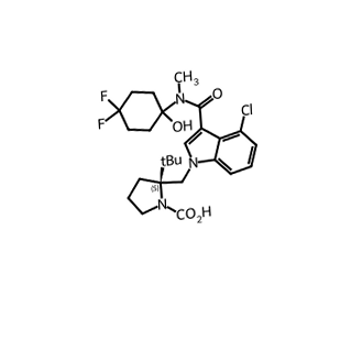 CN(C(=O)c1cn(C[C@@]2(C(C)(C)C)CCCN2C(=O)O)c2cccc(Cl)c12)C1(O)CCC(F)(F)CC1